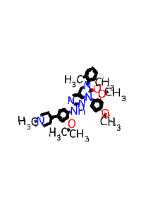 COc1ccc(N2C(=O)N(c3c(C)cccc3C)Cc3cnc(Nc4ccc(C5CCN(C)CC5)cc4OC(C)C)nc32)c(OC)c1